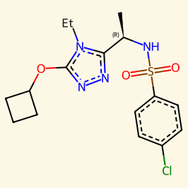 CCn1c(OC2CCC2)nnc1[C@@H](C)NS(=O)(=O)c1ccc(Cl)cc1